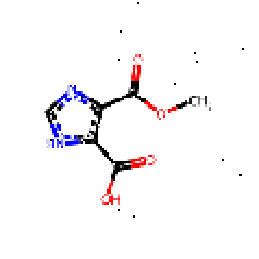 COC(=O)c1nc[nH]c1C(=O)O